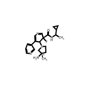 CC(NC(=O)C1(F)C=NC=C(c2cccnc2)C1N1CC[C@](C)(N)C1)C1CC1